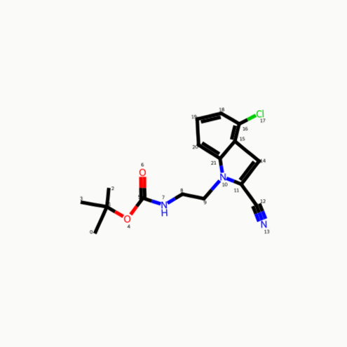 CC(C)(C)OC(=O)NCCn1c(C#N)cc2c(Cl)cccc21